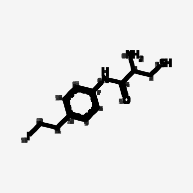 NC(CS)C(=O)Nc1ccc(CCI)cc1